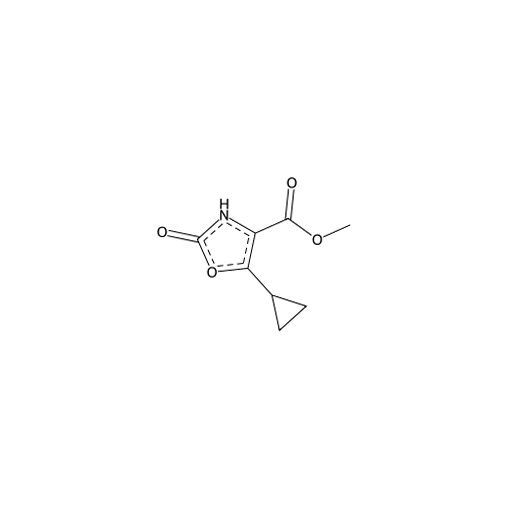 COC(=O)c1[nH]c(=O)oc1C1CC1